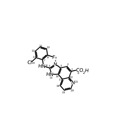 O=C(O)c1cc2nc(Nc3c(F)cccc3Cl)[nH]c2c2cccnc12